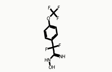 N=C(NO)C(F)(F)c1ccc(OC(F)(F)F)cc1